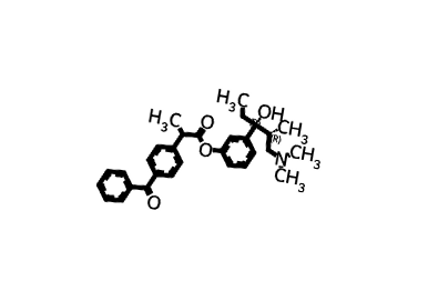 CC[C@](O)(c1cccc(OC(=O)C(C)c2ccc(C(=O)c3ccccc3)cc2)c1)[C@H](C)CN(C)C